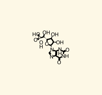 O=c1[nH]c(=O)c2ncn([C@@H]3O[C@H](C(O)P(=O)(O)O)[C@@H](O)[C@H]3O)c2[nH]1